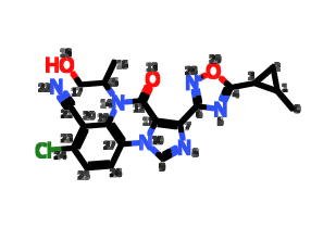 CC1CC1c1nc(-c2ncn3c2c(=O)n(C(C)CO)c2c(C#N)c(Cl)ccc23)no1